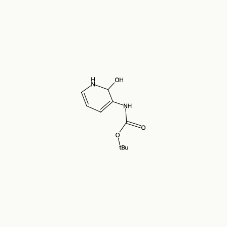 CC(C)(C)OC(=O)NC1=CC=CNC1O